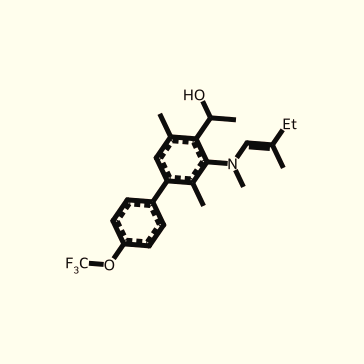 CC/C(C)=C/N(C)c1c(C)c(-c2ccc(OC(F)(F)F)cc2)cc(C)c1C(C)O